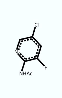 CC(=O)Nc1ncc(Cl)cc1F